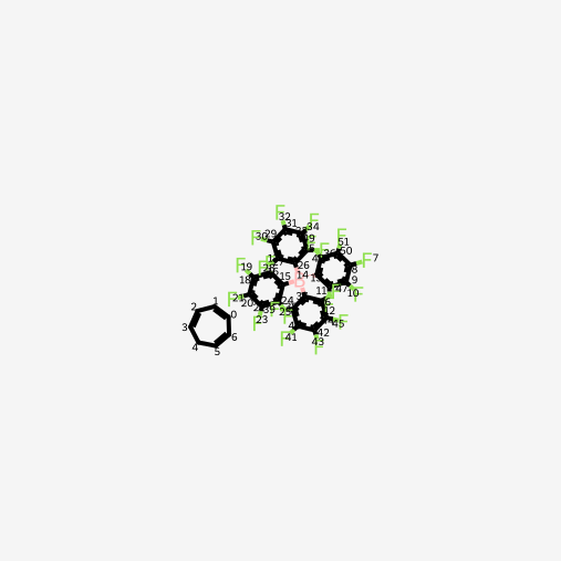 C1=CC=CCC=C1.Fc1c(F)c(F)c([B-](c2c(F)c(F)c(F)c(F)c2F)(c2c(F)c(F)c(F)c(F)c2F)c2c(F)c(F)c(F)c(F)c2F)c(F)c1F